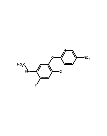 O=C(O)Nc1cc(Oc2ccc([N+](=O)[O-])cn2)c(Cl)cc1F